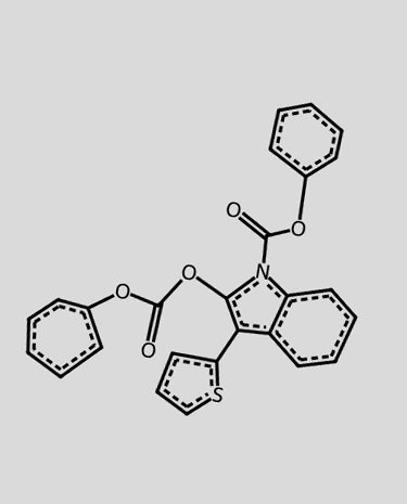 O=C(Oc1ccccc1)Oc1c(-c2cccs2)c2ccccc2n1C(=O)Oc1ccccc1